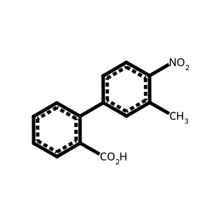 Cc1cc(-c2ccccc2C(=O)O)ccc1[N+](=O)[O-]